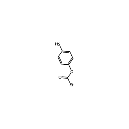 CCC(=O)Oc1ccc(S)cc1